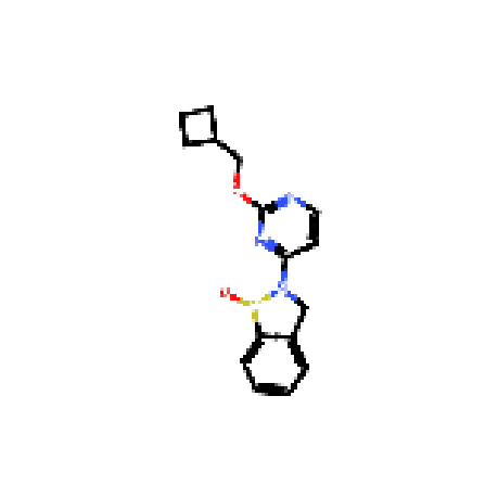 [O-][S+]1c2ccccc2CN1c1ccnc(OCC2CCC2)n1